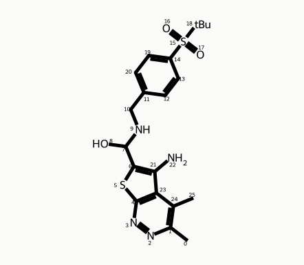 Cc1nnc2sc(C(O)NCc3ccc(S(=O)(=O)C(C)(C)C)cc3)c(N)c2c1C